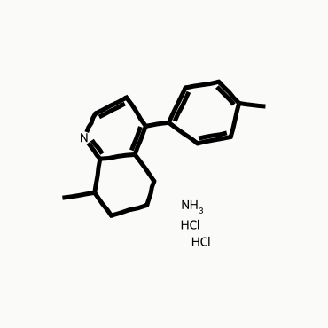 Cc1ccc(-c2ccnc3c2CCCC3C)cc1.Cl.Cl.N